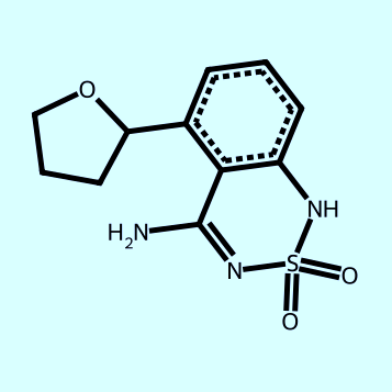 NC1=NS(=O)(=O)Nc2cccc(C3CCCO3)c21